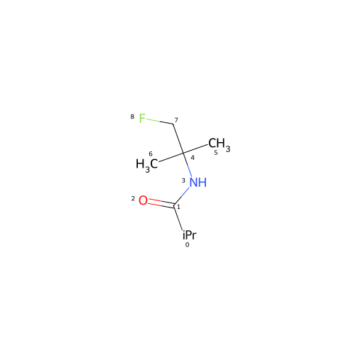 CC(C)C(=O)NC(C)(C)CF